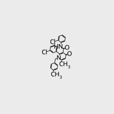 Cc1ccc(Cn2c(C)cc(=O)c(C(=O)Nc3ccccc3Cl)c2-c2cccc(Cl)c2)cc1